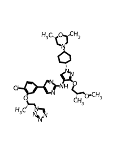 COC[C@H](C)COc1nn([C@H]2CC[C@H](N3C[C@@H](C)O[C@@H](C)C3)CC2)cc1Nc1ncc(-c2ccc(Cl)c(O[C@@H](C)Cn3cnnn3)c2)cn1